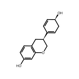 Oc1ccc2c(c1)OC[C@H](C1=CC[C@H](O)C=C1)C2